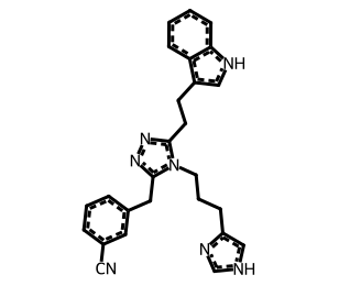 N#Cc1cccc(Cc2nnc(CCc3c[nH]c4ccccc34)n2CCCc2c[nH]cn2)c1